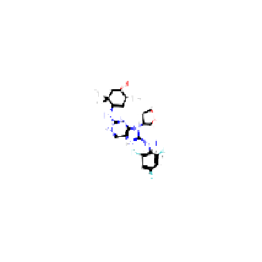 [2H]C1CC(Nc2ncc3nc(Nc4c(F)cc(F)cc4F)n(C4CCOC4)c3n2)C([2H])([2H])CC1O